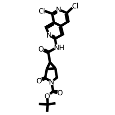 CC(C)(C)OC(=O)N1CC2C(C(=O)Nc3cc4cc(Cl)nc(Cl)c4cn3)C2C1=O